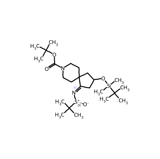 CC(C)(C)OC(=O)N1CCC2(CC1)CC(O[Si](C)(C)C(C)(C)C)C/C2=N\[S@+]([O-])C(C)(C)C